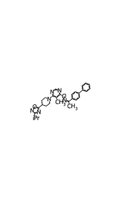 CC(=NOc1ncnc(N2CCC(c3nc(C(C)C)no3)CC2)c1C)c1ccc(-c2ccccc2)cc1